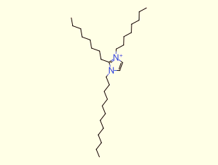 CCCCCCCCCCCCn1cc[n+](CCCCCCCC)c1CCCCCCCC